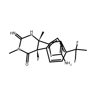 CN1C(=N)N[C@](C)(c2ccc(N)s2)[C@](F)(c2ccc(C(C)(F)F)cc2)C1=O